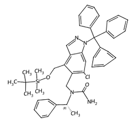 C[C@H](c1ccccc1)N(Cc1c(Cl)cc2c(cnn2C(c2ccccc2)(c2ccccc2)c2ccccc2)c1CO[Si](C)(C)C(C)(C)C)C(N)=O